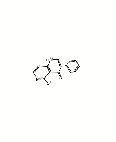 O=c1c(-c2ccccc2)c[nH]c2ccnc(Cl)c12